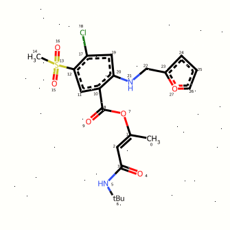 CC(=CC(=O)NC(C)(C)C)OC(=O)c1cc(S(C)(=O)=O)c(Cl)cc1NCc1ccco1